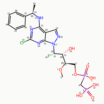 CO[C@H](COP(=O)(O)CP(=O)(O)O)[C@@H](O)[C@H](F)n1ncc2c(N[C@H](C)c3ccccc3)nc(Cl)nc21